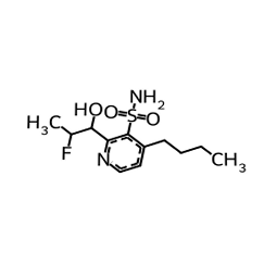 CCCCc1ccnc(C(O)C(C)F)c1S(N)(=O)=O